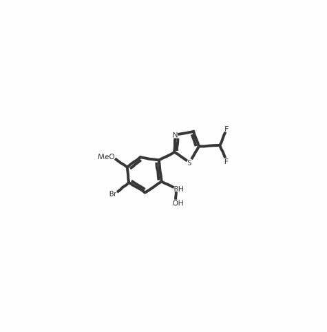 COc1cc(-c2ncc(C(F)F)s2)c(BO)cc1Br